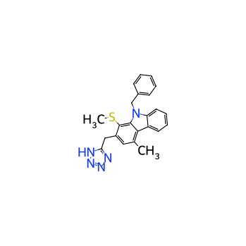 CSc1c(Cc2nnn[nH]2)cc(C)c2c3ccccc3n(Cc3ccccc3)c12